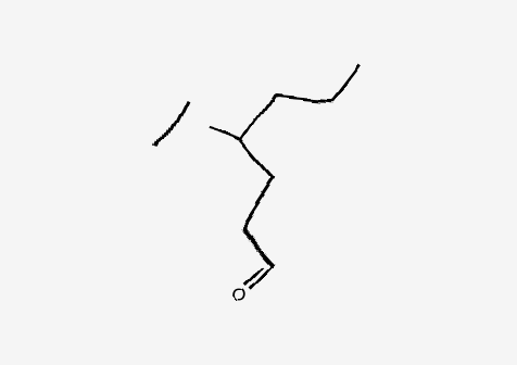 CC.CCCC(C)CCC=O